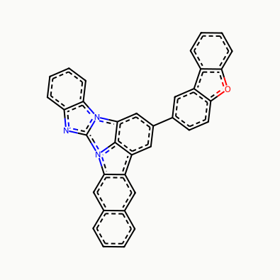 c1ccc2cc3c(cc2c1)c1cc(-c2ccc4oc5ccccc5c4c2)cc2c1n3c1nc3ccccc3n21